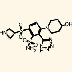 NS(=O)(=O)c1c(S(=O)(=O)C2CNC2)ccc(N2CCC(O)CC2)c1-c1nnn[nH]1